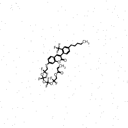 C=CC(=O)OCC(F)(F)OC(F)(F)OC(F)(F)OC(F)(F)CSc1ccc2cc(-c3ccc(CCCCC)cc3C(F)(F)F)c(=O)oc2c1